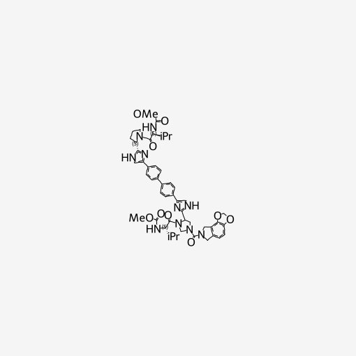 COC(=O)N[C@H](C(=O)N1CN(C(=O)N2Cc3ccc4c(c3C2)OCO4)CC1c1nc(-c2ccc(-c3ccc(-c4c[nH]c([C@@H]5CCCN5C(=O)[C@@H](NC(=O)OC)C(C)C)n4)cc3)cc2)c[nH]1)C(C)C